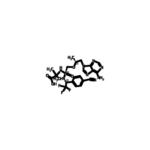 C[C@H](Cn1cnc2c(N)ncnc21)OC[P@@](=O)(N[C@H](c1ccc(C#N)cc1)C(F)(F)F)NC(C)(C)C(=O)O